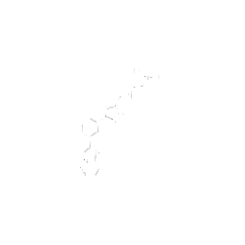 CN(C)CCNCc1nc(-c2cccc(-c3cn4ncccc4n3)c2)no1